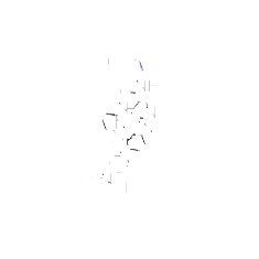 CCC/C=C\CNC(=O)c1cnc(Nc2ccc(N3CCC(N(C)C)CC3)cc2)nc1Nc1cccc(O)n1